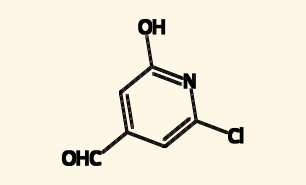 O=Cc1cc(O)nc(Cl)c1